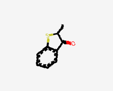 CC1Sc2ccccc2C1=O